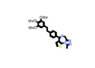 COc1cc(CCc2ccc(C3=NCc4nnc(C)n4-c4sccc43)cc2)cc(OC)c1OC